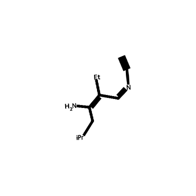 C#C/N=C\C(CC)=C(\N)CC(C)C